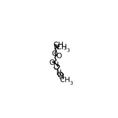 CN(C)CCOC(=O)CCC(=O)N1CCC(N2CCN(C)CC2)CC1